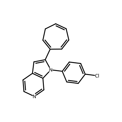 Clc1ccc(-n2c(C3=CCC=CC=C3)cc3ccncc32)cc1